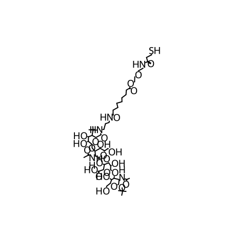 CC(=O)NC1C(OC(C)(C)C)OC(CO)C(O)C1OC1OC(C(=O)O)C(OC2OC(CO)C(O)C(OC3OC(C(=O)NCCCNC(=O)CCCCCCCC(=O)OCCOCCNC(=O)CCS)C(C(C)(C)C)C(O)C3O)C2NC(C)=O)C(O)C1O